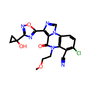 COCCn1c(=O)c2c(-c3nc(C4(O)CC4)no3)ncn2c2ccc(Cl)c(C#N)c21